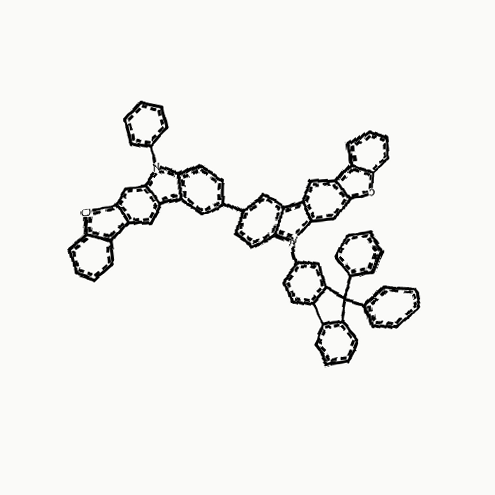 c1ccc(-n2c3ccc(-c4ccc5c(c4)c4cc6c(cc4n5-c4ccc5c(c4)C(c4ccccc4)(c4ccccc4)c4ccccc4-5)oc4ccccc46)cc3c3cc4c(cc32)oc2ccccc24)cc1